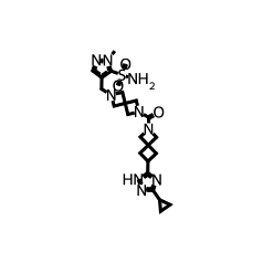 Cn1ncc(CN2CC3(C2)CN(C(=O)N2CC4(CC(c5nc(C6CC6)n[nH]5)C4)C2)C3)c1S(N)(=O)=O